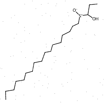 CCCCCCCCCCCCCCCCC[S+]([O-])C(O)CC